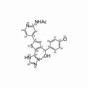 CC(=O)Nc1cc(-c2cc(C(O)c3ccc(Cl)cc3)c(-c3nnc[nH]3)s2)ccn1